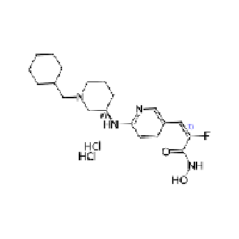 Cl.Cl.O=C(NO)/C(F)=C\c1ccc(N[C@@H]2CCCN(CC3CCCCC3)C2)nc1